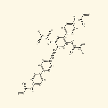 C=CC(=O)Oc1ccc(-c2ccc(C#Cc3cc(OC(=O)C(=C)C)c(-c4ccc(OC(=O)C=C)cc4)cc3OC(=O)C(C)=O)cc2)cc1